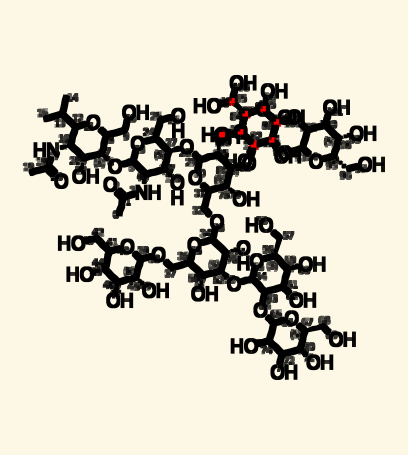 CC(=O)N[C@@H]1C(O[C@@H]2C(CO)OC(C(C)C)[C@@H](NC(C)=O)[C@H]2O)OC(CO)[C@@H](OC2OC(COC3OC(COC4OC(CO)[C@@H](O)[C@H](O)[C@H]4O)[C@@H](O)[C@H](OC4O[C@@H](CO)[C@@H](O)C(O)C4OC4O[C@@H](CO)[C@@H](O)C(O)C4O)[C@H]3O)[C@@H](O)[C@H](OC3O[C@@H](CO)[C@@H](O)C(O)C3OC3O[C@@H](CO)[C@@H](O)C(O)C3OC3O[C@@H](CO)[C@@H](O)C(O)C3O)[C@H]2O)[C@@H]1O